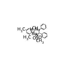 Cc1cc(C)[c]([Ru][N](C(c2ccccc2)C(N)c2ccccc2)S(C)(=O)=O)c(C)c1